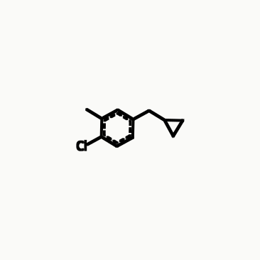 Cc1cc(CC2CC2)ccc1Cl